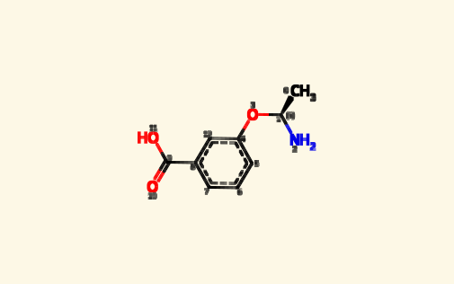 C[C@@H](N)Oc1cccc(C(=O)O)c1